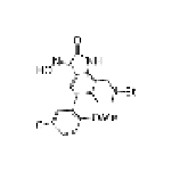 CCN1CCc2c(-c3cc(Cl)ccc3OC)cc3c(c2C1)NC(=O)/C3=N/O